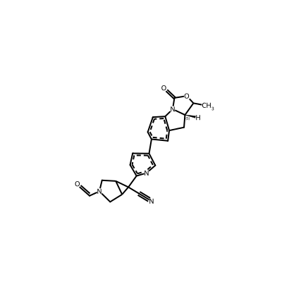 CC1OC(=O)N2c3ccc(-c4ccc(C5(C#N)C6CN(C=O)CC65)nc4)cc3C[C@@H]12